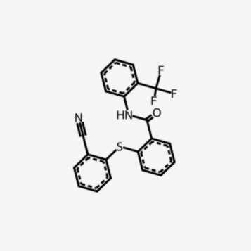 N#Cc1ccccc1Sc1ccccc1C(=O)Nc1ccccc1C(F)(F)F